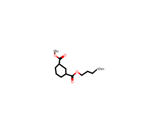 CCCCCCCCCCCCCOC(=O)C1CCCC(C(=O)OC(C)(C)C)C1